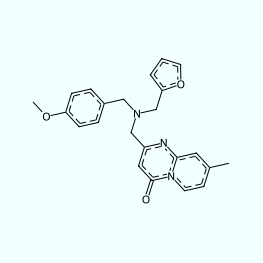 COc1ccc(CN(Cc2cc(=O)n3ccc(C)cc3n2)Cc2ccco2)cc1